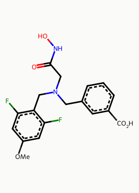 COc1cc(F)c(CN(CC(=O)NO)Cc2cccc(C(=O)O)c2)c(F)c1